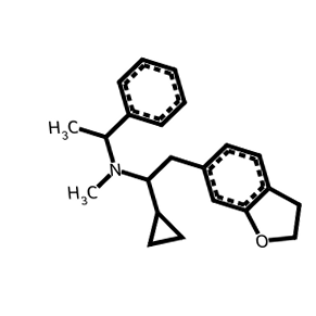 CC(c1ccccc1)N(C)C(Cc1ccc2c(c1)OCC2)C1CC1